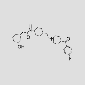 O=C(C[C@@H]1CCC[C@@H](O)C1)N[C@H]1CC[C@@H](CCN2CCC(C(=O)c3ccc(F)cc3)CC2)CC1